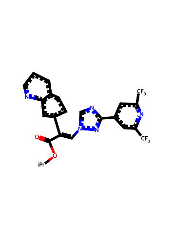 CC(C)OC(=O)/C(=C/n1cnc(-c2cc(C(F)(F)F)nc(C(F)(F)F)c2)n1)c1ccc2cccnc2c1